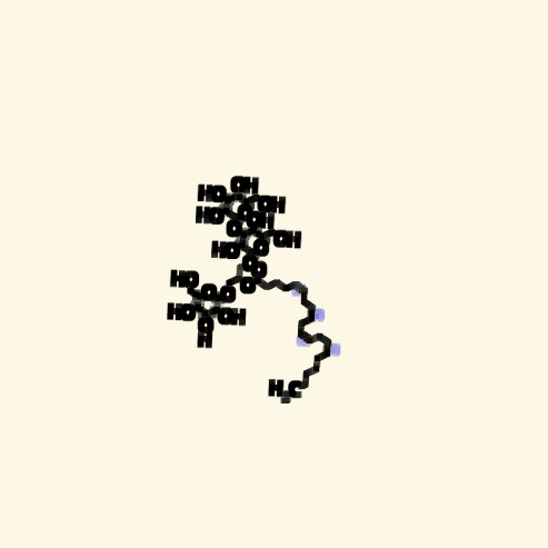 CCCCC/C=C\C/C=C\C/C=C\C/C=C\CCCC(=O)OC(CO[C@@H]1O[C@H](CO)[C@@H](O)[C@H](O)[C@H]1O)CO[C@@H]1O[C@H](CO)[C@@H](O)[C@H](O[C@@H]2O[C@H](CO)[C@@H](O)[C@H](O)[C@H]2O)[C@H]1O